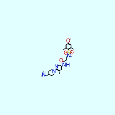 COc1cc(C)c(S(=O)(=O)N(C)CCC(=O)Nc2cnc(N3CCC(CN(C)C)CC3)c(C)c2)c(C)c1